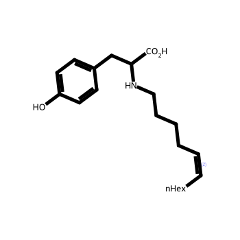 CCCCCC/C=C\CCCCNC(Cc1ccc(O)cc1)C(=O)O